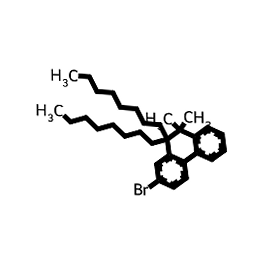 CCCCCCCCC1(CCCCCCCC)c2cc(Br)ccc2-c2ccccc2C1(C)C